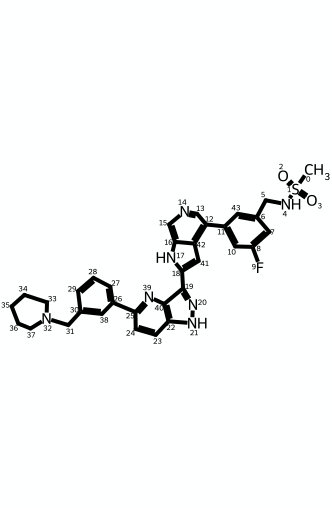 CS(=O)(=O)NCc1cc(F)cc(-c2cncc3[nH]c(-c4n[nH]c5ccc(-c6cccc(CN7CCCCC7)c6)nc45)cc23)c1